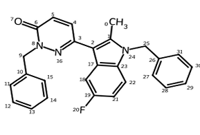 Cc1c(-c2ccc(=O)n(Cc3ccccc3)n2)c2cc(F)ccc2n1Cc1ccccc1